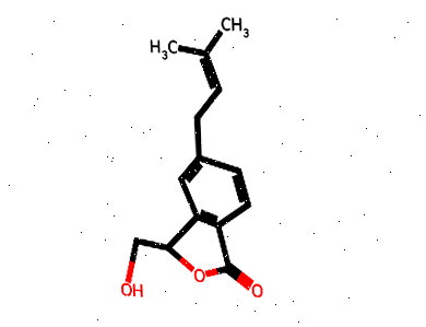 CC(C)=CCc1ccc2c(c1)C(CO)OC2=O